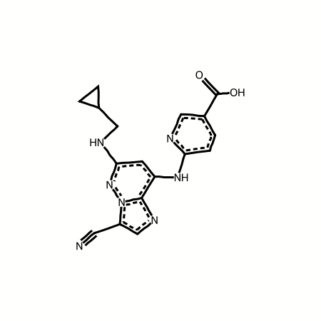 N#Cc1cnc2c(Nc3ccc(C(=O)O)cn3)cc(NCC3CC3)nn12